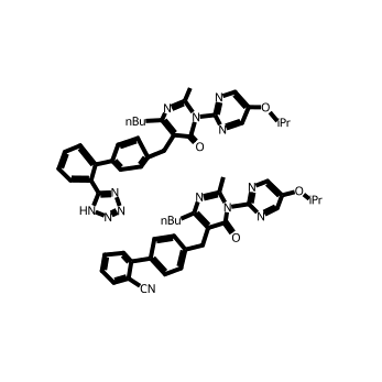 CCCCc1nc(C)n(-c2ncc(OC(C)C)cn2)c(=O)c1Cc1ccc(-c2ccccc2-c2nnn[nH]2)cc1.CCCCc1nc(C)n(-c2ncc(OC(C)C)cn2)c(=O)c1Cc1ccc(-c2ccccc2C#N)cc1